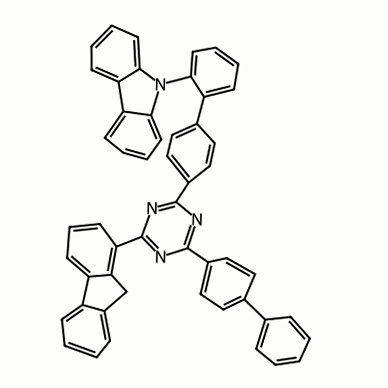 c1ccc(-c2ccc(-c3nc(-c4ccc(-c5ccccc5-n5c6ccccc6c6ccccc65)cc4)nc(-c4cccc5c4Cc4ccccc4-5)n3)cc2)cc1